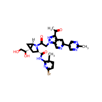 CC(=O)c1nn(CC(=O)N2[C@H](C(=O)Nc3nc(Br)ccc3C)C[C@@]3(C(O)CO)C[C@@H]23)c2cnc(-c3cnc(C)nc3)cc12